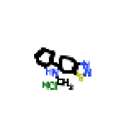 CNC1(c2ccccc2)CCc2nnsc2C1.Cl